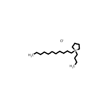 CCCCCCCCCCC[N+]1(CCCC)CCCC1.[Cl-]